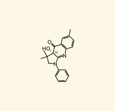 Cc1ccc2c(c1)C(=O)[C@@]1(O)C(=N2)N(c2ccccc2)CC1(C)C